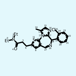 CCN(CC)C(=O)CCc1cc2c(s1)-n1c(C)cnc1C(c1ccccc1Cl)N=C2